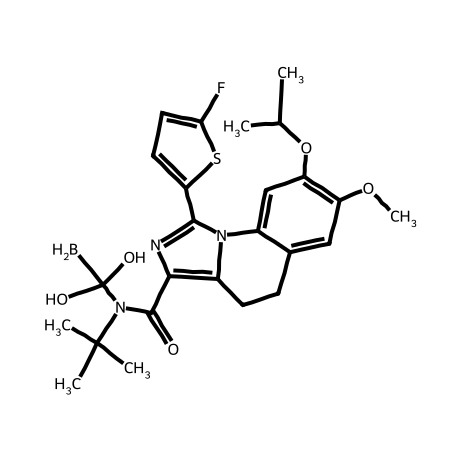 BC(O)(O)N(C(=O)c1nc(-c2ccc(F)s2)n2c1CCc1cc(OC)c(OC(C)C)cc1-2)C(C)(C)C